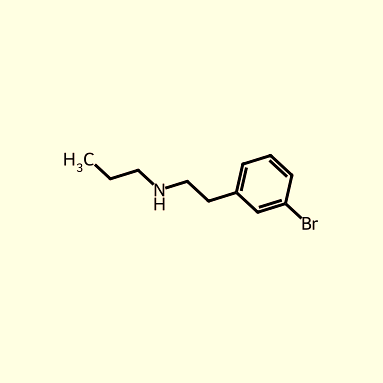 CCCNCCc1cccc(Br)c1